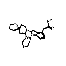 CNC(=O)Cc1cccc2oc(C3CCC4(CCCO4)CC3N3CCCC3)cc12